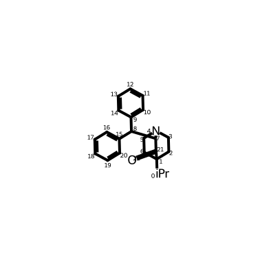 CC(C)C12CCN(CC1)C(C(c1ccccc1)c1ccccc1)C2=O